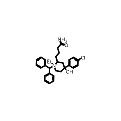 CC[N+]1(C(c2ccccc2)c2ccccc2)CCC(O)(c2ccc(Cl)cc2)CC1CCCC(N)=O